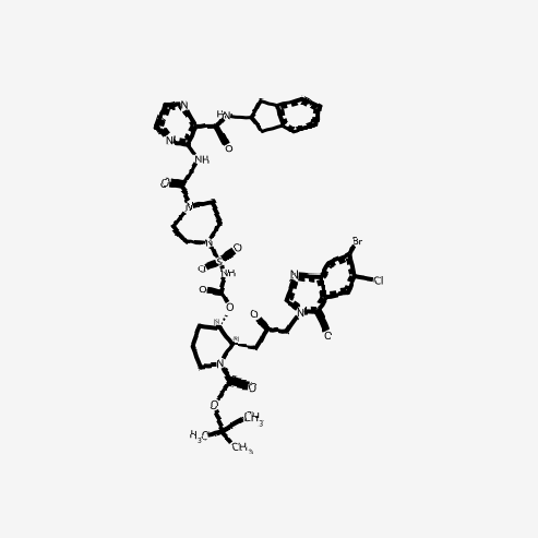 CC(C)(C)OC(=O)N1CCC[C@H](OC(=O)NS(=O)(=O)N2CCN(C(=O)Nc3nccnc3C(=O)NC3Cc4ccccc4C3)CC2)[C@H]1CC(=O)Cn1cnc2cc(Br)c(Cl)cc2c1=O